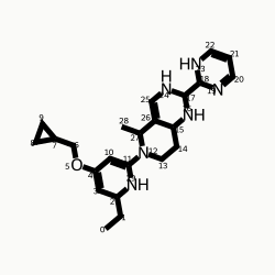 CCC1C=C(OCC2CC2)C=C(N2CCC3NC(C4N=CC=CN4)NC=C3C2C)N1